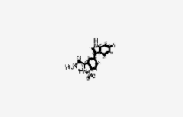 NC(=O)C1NS(=O)(=O)c2ccc(-c3c[nH]c4cc(F)ccc34)cc21